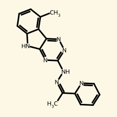 CC(=NNc1nnc2c(n1)[nH]c1cccc(C)c12)c1ccccn1